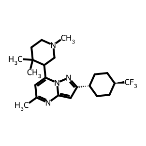 Cc1cc(C2CN(C)CCC2(C)C)n2nc([C@H]3CC[C@H](C(F)(F)F)CC3)cc2n1